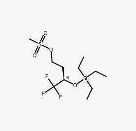 CC[Si](CC)(CC)O[C@H](CCOS(C)(=O)=O)C(F)(F)F